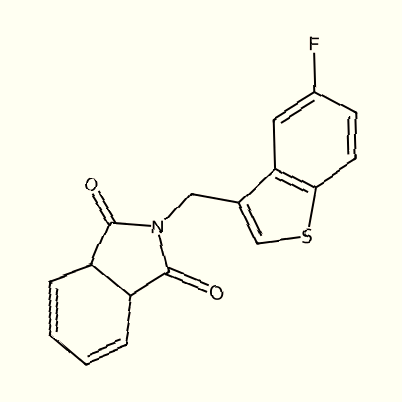 O=C1C2C=CC=CC2C(=O)N1Cc1csc2ccc(F)cc12